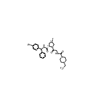 CC(C)c1ccc([C@@H](NC(=O)[C@@H]2C[C@@H](F)CN2C(=O)CNC(=O)N2CCN(CC(F)(F)F)CC2)c2ccccc2)nc1